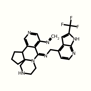 C=Nc1cncc(C2CCCC2)c1/C(=N\Cc1ccnc2[nH]c(C(F)(F)F)cc12)N1CCNCC1